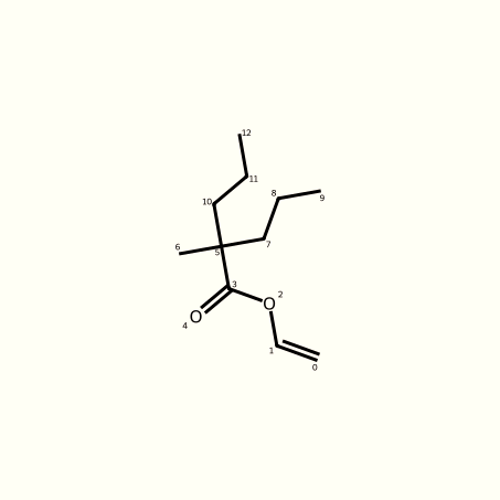 C=COC(=O)C(C)(CCC)CCC